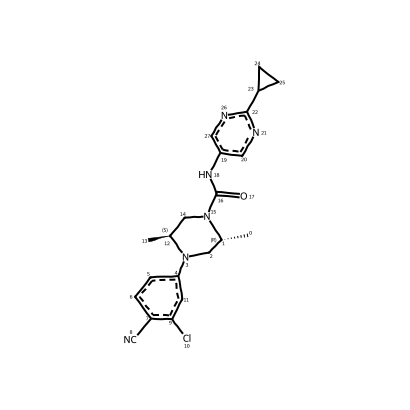 C[C@@H]1CN(c2ccc(C#N)c(Cl)c2)[C@@H](C)CN1C(=O)Nc1cnc(C2CC2)nc1